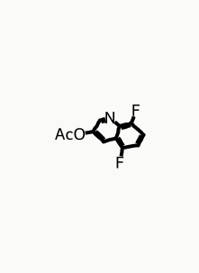 CC(=O)Oc1cnc2c(F)ccc(F)c2c1